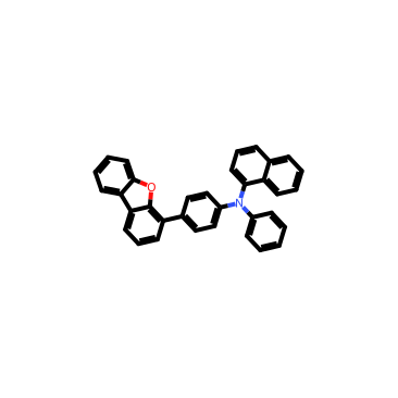 c1ccc(N(c2ccc(-c3cccc4c3oc3ccccc34)cc2)c2cccc3ccccc23)cc1